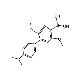 COc1cc(-c2ccc(C(C)C)cc2)c(OC)cc1B(O)O